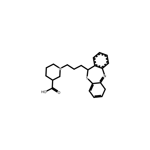 O=C(O)C1CCCN(CCCC2SC3=CC=CCC3=Nc3ccccc32)C1